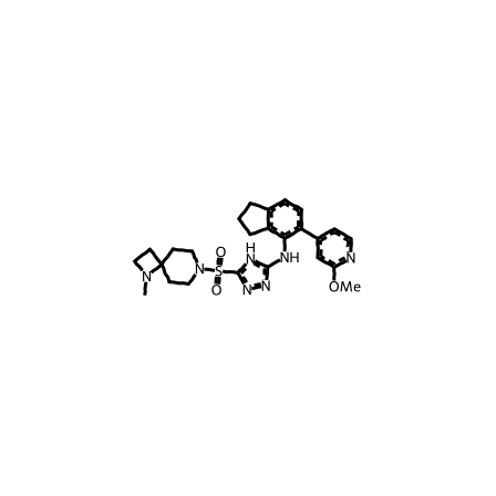 COc1cc(-c2ccc3c(c2Nc2nnc(S(=O)(=O)N4CCC5(CCN5C)CC4)[nH]2)CCC3)ccn1